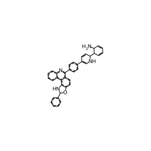 NC1C=CC=CC1C1C=CC(c2ccc(-c3nc4ccccc4c4c5c(ccc34)OC(c3ccccc3)N5)cc2)=CN1